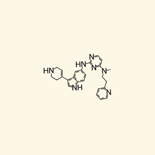 CN(CCc1ccccn1)c1ccnc(Nc2ccc3[nH]cc(C4=CCNCC4)c3c2)n1